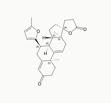 Cc1ccc([C@@H]2CC3=CC(=O)CC[C@]3(C)C3=CC[C@@]4(C)[C@@H](CC[C@@]45CCC(=O)O5)[C@@H]32)o1